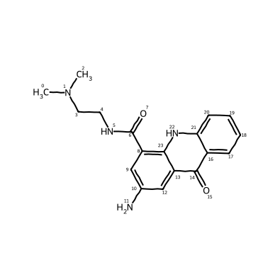 CN(C)CCNC(=O)c1cc(N)cc2c(=O)c3ccccc3[nH]c12